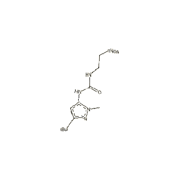 CCCCCCCCCCCNC(=O)Nc1cc(C(C)(C)C)nn1C